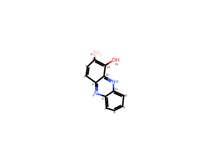 Bc1ccc2nc3ccccc3nc2c1O